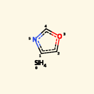 [SiH4].c1cocn1